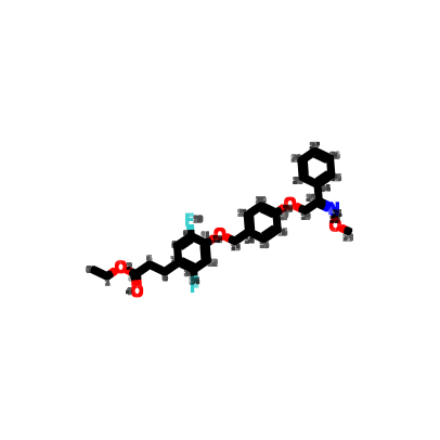 CCOC(=O)CCc1cc(F)c(OCc2ccc(OC/C(=N\OC)c3ccccc3)cc2)cc1F